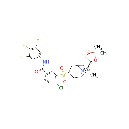 C[C@H]1CC2CC(S(=O)(=O)c3cc(C(=O)Nc4cc(F)c(F)c(F)c4)ccc3Cl)CC1N2C[C@H]1COC(C)(C)O1